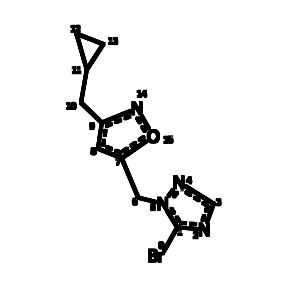 Brc1ncnn1Cc1cc(CC2CC2)no1